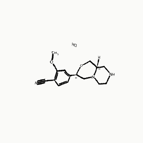 COc1cc([C@@H]2CN3CCNC[C@H]3CO2)ccc1C#N.Cl